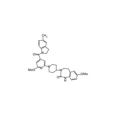 COc1ccc2c(c1)CCN(C1CCN(c3cc(C(=O)N4CCc5cc(C)ccc54)cc(OC)n3)CC1)C(=O)N2